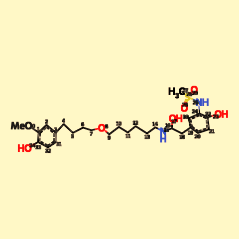 COc1cc(CCCCOCCCCCCNC(O)Cc2ccc(O)c(NS(C)(=O)=O)c2)ccc1O